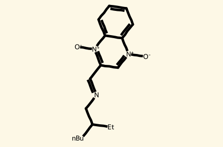 CCCCC(CC)C/N=C/c1c[n+]([O-])c2ccccc2[n+]1[O-]